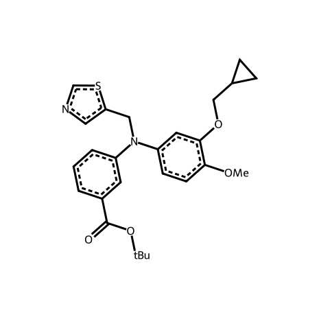 COc1ccc(N(Cc2cncs2)c2cccc(C(=O)OC(C)(C)C)c2)cc1OCC1CC1